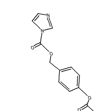 CC(=O)Oc1ccc(COC(=O)n2ccnc2)cc1